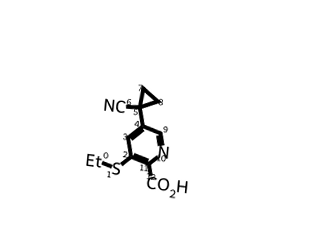 CCSc1cc(C2(C#N)CC2)cnc1C(=O)O